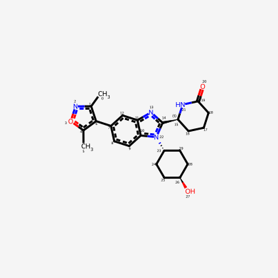 Cc1noc(C)c1-c1ccc2c(c1)nc([C@@H]1CCCC(=O)N1)n2[C@H]1CC[C@H](O)CC1